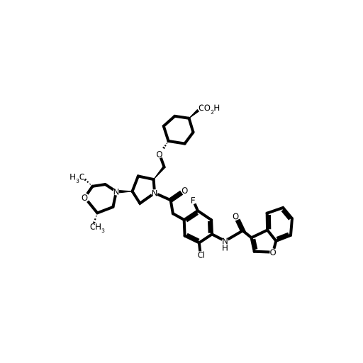 C[C@@H]1CN([C@H]2C[C@@H](CO[C@H]3CC[C@H](C(=O)O)CC3)N(C(=O)Cc3cc(Cl)c(NC(=O)c4coc5ccccc45)cc3F)C2)C[C@H](C)O1